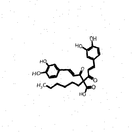 CCCCCCC(C(=O)O)(C(=O)/C=C/c1ccc(O)c(O)c1)C(=O)/C=C/c1ccc(O)c(O)c1